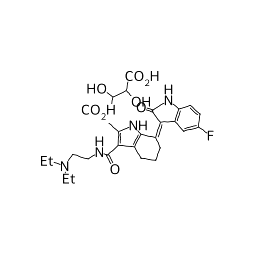 CCN(CC)CCNC(=O)c1c(C)[nH]c2c1CCC/C2=C1/C(=O)Nc2ccc(F)cc21.O=C(O)C(O)C(O)C(=O)O